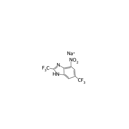 O=[N+]([O-])c1cc(C(F)(F)F)cc2[nH]c(C(F)(F)F)nc12.[Na+]